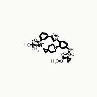 COC(=O)C1(S(=O)(=O)Nc2ccc(-n3cc(-c4cccc(S(=O)(=O)NC(C)(C)C)c4)nn3)c(N3CCC4(CC3)CC4)c2)CC1